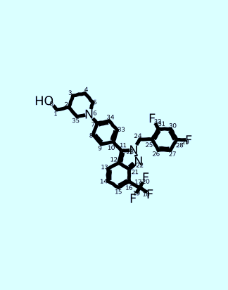 OCC1CCCN(c2ccc(-c3c4cccc(C(F)(F)F)c4nn3Cc3ccc(F)cc3F)cc2)C1